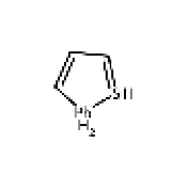 C1=[CH][PbH2][SiH]=C1